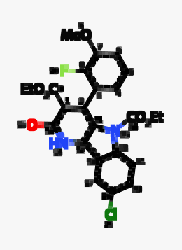 CCOC(=O)c1c(-c2cccc(OC)c2F)c2c([nH]c1=O)c1cc(Cl)ccc1n2C(=O)OCC